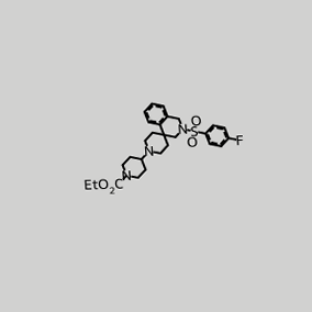 CCOC(=O)N1CCC(N2CCC3(CC2)CN(S(=O)(=O)c2ccc(F)cc2)Cc2ccccc23)CC1